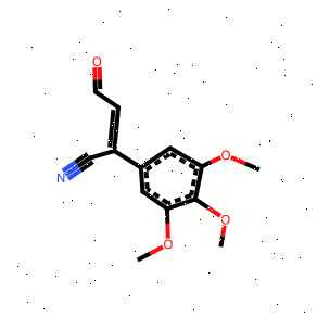 COc1cc(C(C#N)=CC=O)cc(OC)c1OC